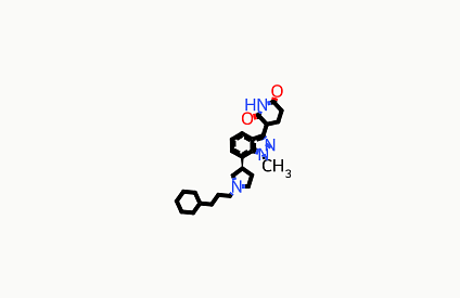 Cn1nc(C2CCC(=O)NC2=O)c2cccc([C@H]3CCN(CCCC4CCCCC4)C3)c21